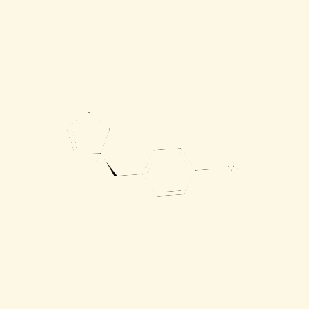 COc1ccc(C[C@H]2C=CCC2)cc1